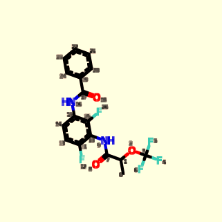 CC(OC(F)(F)F)C(=O)Nc1c(F)ccc(NC(=O)c2ccccc2)c1F